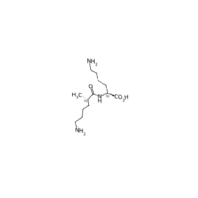 C[C@@H](CCCCN)C(=O)N[C@@H](CCCCN)C(=O)O